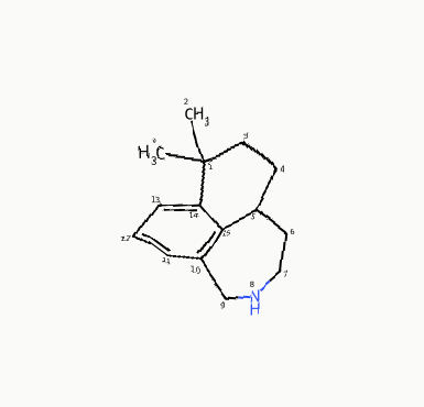 CC1(C)CCC2CCNCc3cccc1c32